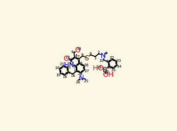 CN(CCCSCc1c(C=O)c(=O)[nH]c2c(Cc3ccccc3)c(N(C)C)ccc12)Cc1ccccc1B(O)O